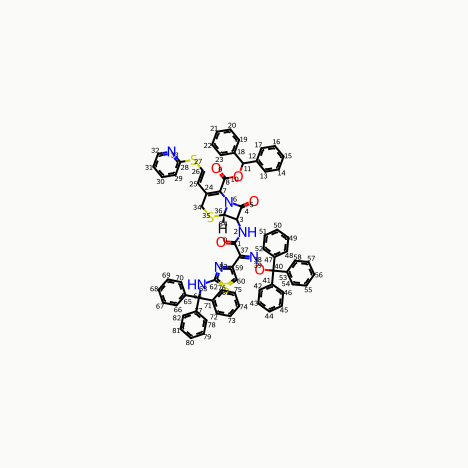 O=C(NC1C(=O)N2C(C(=O)OC(c3ccccc3)c3ccccc3)=C(C=CSc3ccccn3)CS[C@@H]12)C(=NOC(c1ccccc1)(c1ccccc1)c1ccccc1)c1csc(NC(c2ccccc2)(c2ccccc2)c2ccccc2)n1